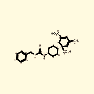 CC1=CC(C(=O)O)([C@H]2CC[C@H](NC(=O)OCc3ccccc3)CC2)CC(C(=O)O)=C1